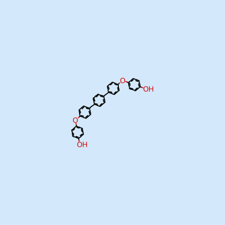 Oc1ccc(Oc2ccc(-c3ccc(-c4ccc(Oc5ccc(O)cc5)cc4)cc3)cc2)cc1